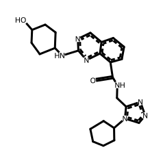 O=C(NCc1nncn1C1CCCCC1)c1cccc2cnc(NC3CCC(O)CC3)nc12